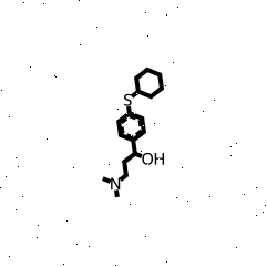 CN(C)CCC(O)c1ccc(SC2CCCCC2)cc1